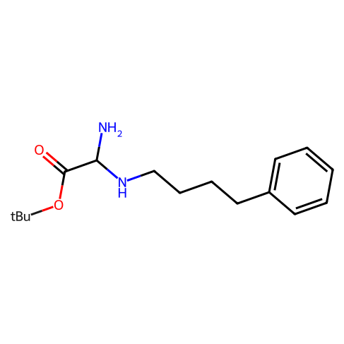 CC(C)(C)OC(=O)C(N)NCCCCc1ccccc1